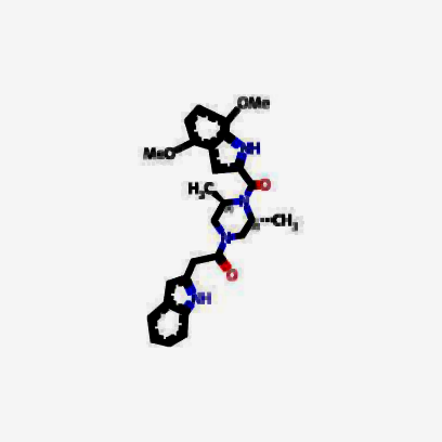 COc1ccc(OC)c2[nH]c(C(=O)N3[C@H](C)CN(C(=O)Cc4cc5ccccc5[nH]4)C[C@H]3C)cc12